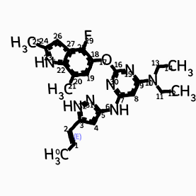 C/C=C/c1cc(Nc2cc(N(CC)CC)nc(Oc3cc(C)c4[nH]c(C)cc4c3F)n2)n[nH]1